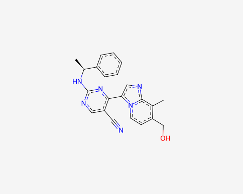 Cc1c(CO)ccn2c(-c3nc(N[C@@H](C)c4ccccc4)ncc3C#N)cnc12